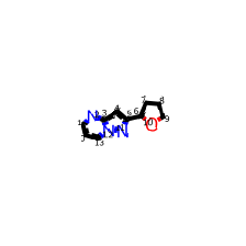 c1cnc2cc(C3CCCO3)nn2c1